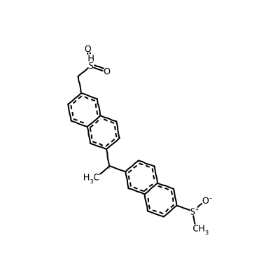 C[C](c1ccc2cc(C[SH](=O)=O)ccc2c1)c1ccc2cc([S+](C)[O-])ccc2c1